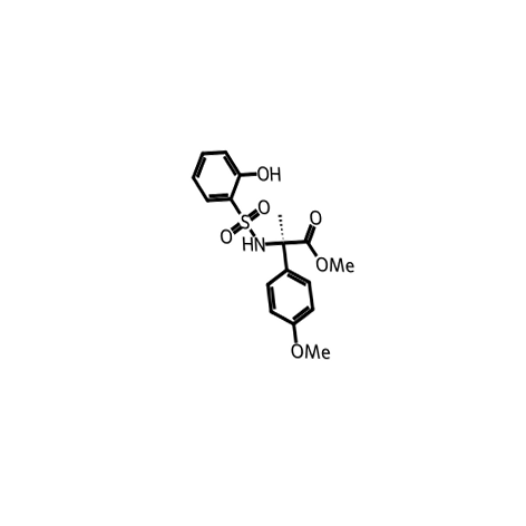 COC(=O)[C@](C)(NS(=O)(=O)c1ccccc1O)c1ccc(OC)cc1